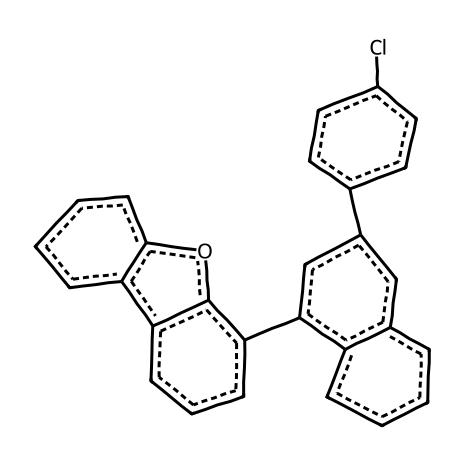 Clc1ccc(-c2cc(-c3cccc4c3oc3ccccc34)c3ccccc3c2)cc1